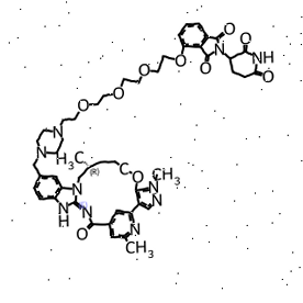 Cc1cc2cc(n1)-c1cnn(C)c1OCCC[C@@H](C)CN1/C(=N/C2=O)Nc2ccc(CN3CCN(CCOCCOCCOCCOc4cccc5c4C(=O)N(C4CCC(=O)NC4=O)C5=O)CC3)cc21